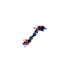 CC1(C)C(NC(=O)c2ccc(N3CCC(CCN4CCN(c5ccc6c(c5)C(O)N(C5CCC(=O)NC5=O)C6=O)CC4)CC3)nn2)C2(C)c3ccnc4c(C#N)ccc(c34)O[C@@H]12